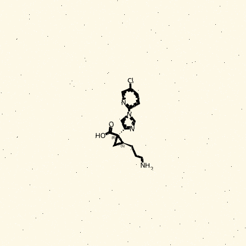 NCCC[C@H]1C[C@]1(C(=O)O)c1cn(-c2ccc(Cl)cn2)cn1